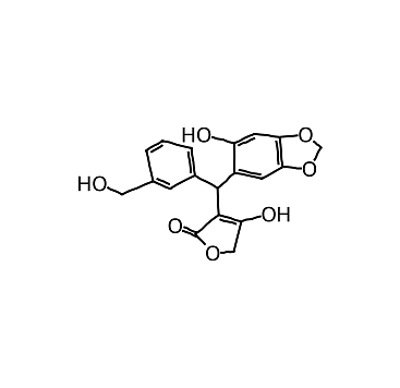 O=C1OCC(O)=C1C(c1cccc(CO)c1)c1cc2c(cc1O)OCO2